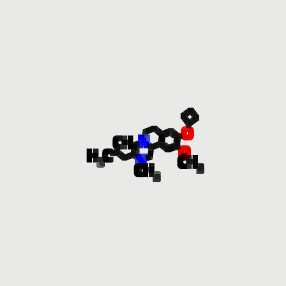 COc1cc2c(cc1OC1CCC1)CCN1CC(CC(C)C)N(C)CC21